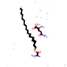 CCCCCCCCCCCCCCCCCCOC(=O)[C@@H](C)N.NC(=O)CC[C@H](N)C(=O)O